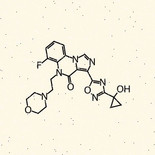 O=c1c2c(-c3nc(C4(O)CC4)no3)ncn2c2cccc(F)c2n1CCN1CCOCC1